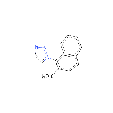 O=C(O)c1ccc2ccccc2c1-n1ccnn1